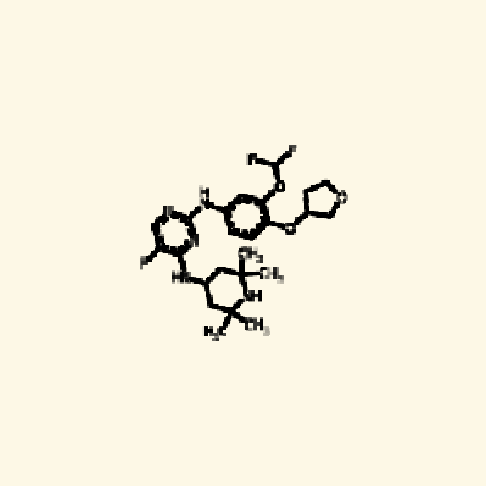 CC1(C)CC(Nc2nc(Nc3ccc(OC4CCOC4)c(OC(F)F)c3)ncc2F)CC(C)(C)N1